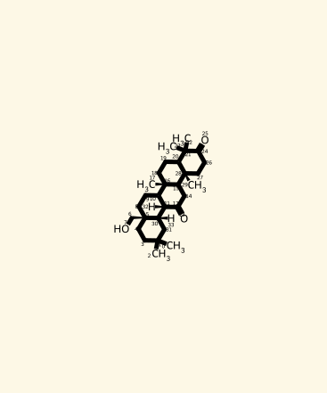 CC1(C)CC[C@]2(CO)CCC3[C@H](C(=O)CC4[C@@]3(C)CCC3C(C)(C)C(=O)CC[C@@]34C)[C@@H]2C1